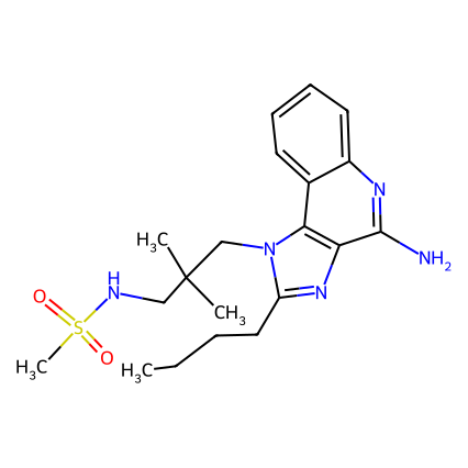 CCCCc1nc2c(N)nc3ccccc3c2n1CC(C)(C)CNS(C)(=O)=O